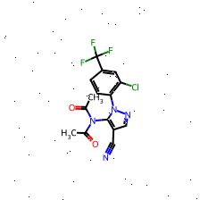 CC(=O)N(C(C)=O)c1c(C#N)cnn1-c1ccc(C(F)(F)F)cc1Cl